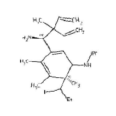 C=CC(C)(C=C)[C@H](N)C1=CC(NC(C)C)[C@@](C)(C(I)CC)C(C)=C1C